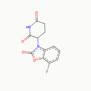 O=C1CCC(n2c(=O)oc3c(F)cccc32)C(=O)N1